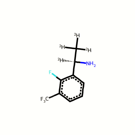 [2H]C([2H])([2H])[C@@]([2H])(N)c1cccc(C(F)(F)F)c1F